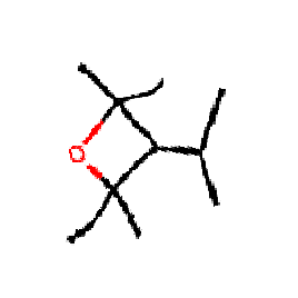 CC(C)C1C(C)(C)OC1(C)C